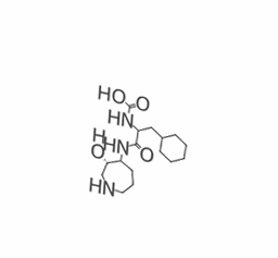 O=C(O)NC(CC1CCCCC1)C(=O)NC1CCCNC[C@@H]1O